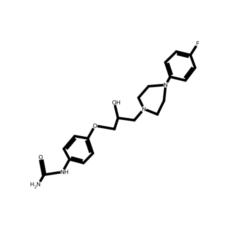 NC(=O)Nc1ccc(OCC(O)CN2CCN(c3ccc(F)cc3)CC2)cc1